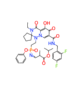 CCN1C(=O)c2c(O)c(=O)c(C(=O)NCc3ccc(F)cc3F)cn2N(CCP(=O)(/N=C\C(C)C(=O)OC(C)C)Oc2ccccc2)C12CCCC2